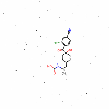 C[C@@H](CC1CCC(O)(C(=O)c2ccc(C#N)cc2Br)CC1)NC(=O)O